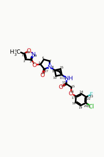 Cc1cc(OC2CCN(C34CC(NC(=O)COc5ccc(Cl)c(F)c5)(C3)C4)C2=O)no1